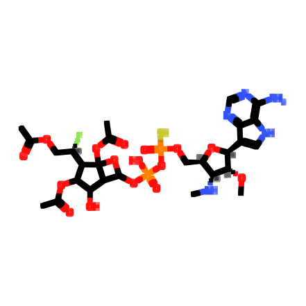 CN[C@H]1[C@@H](OC)[C@H](c2c[nH]c3c(N)ncnc23)O[C@@H]1COP(=O)(S)OP(=O)(O)OC1OC2(OC(C)=O)C1C(O)C(OC(C)=O)C2[C@@H](F)COC(C)=O